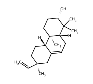 C=C[C@@]1(C)CC[C@H]2C(=CC[C@H]3C(C)(C)[C@@H](O)CC[C@]23C)C1